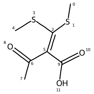 CSC(SC)=C(C(C)=O)C(=O)O